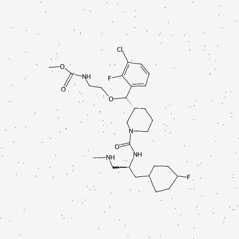 CNC[C@H](CC1CCC(F)CC1)NC(=O)N1CCC[C@@H](C(OCCNC(=O)OC)c2cccc(Cl)c2F)C1